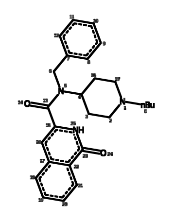 CCCCN1CCC(N(Cc2ccccc2)C(=O)c2cc3ccccc3c(=O)[nH]2)CC1